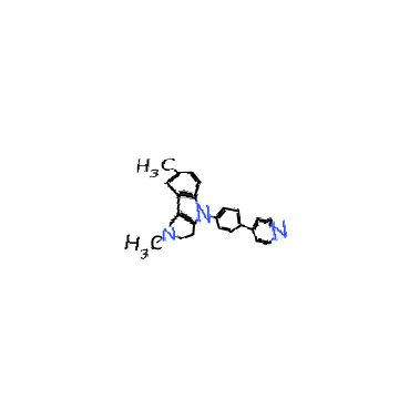 Cc1ccc2c(c1)c1c(n2-c2ccc(-c3ccncc3)cc2)CCN(C)C1